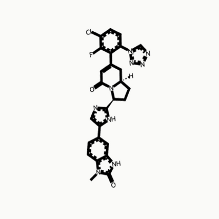 Cn1c(=O)[nH]c2cc(-c3cnc([C@@H]4CC[C@@H]5CC(c6c(-n7cnnn7)ccc(Cl)c6F)=CC(=O)N54)[nH]3)ccc21